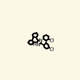 Clc1ccc(-c2nc3c4ccccc4c4ccccc4c3[nH]2)c(-c2ccccc2Cl)c1